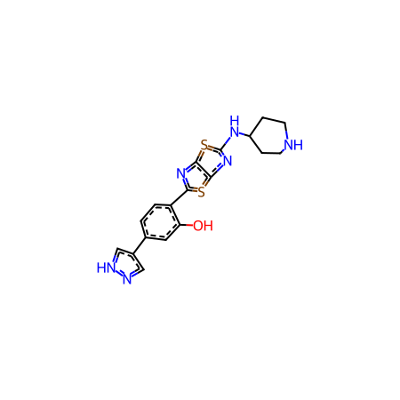 Oc1cc(-c2cn[nH]c2)ccc1-c1nc2sc(NC3CCNCC3)nc2s1